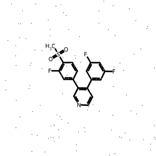 CS(=O)(=O)c1ccc(-c2cnccc2-c2cc(F)cc(F)c2)cc1F